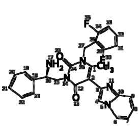 Cc1c(-c2cn3ccccc3n2)c(=O)n(C[C@H](N)c2ccccc2)c(=O)n1Cc1c(F)cccc1F